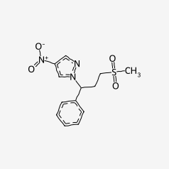 CS(=O)(=O)CCC(c1ccccc1)n1cc([N+](=O)[O-])cn1